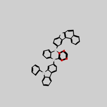 c1ccc(N(c2ccc3oc4ccc5ccccc5c4c3c2)c2ccccc2N(c2ccccc2)c2ccc3c4ccccc4n(-c4ccccc4)c3c2)cc1